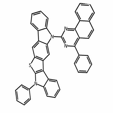 c1ccc(-c2nc(-n3c4ccccc4c4cc5sc6c(c5cc43)c3ccccc3n6-c3ccccc3)nc3c2ccc2ccccc23)cc1